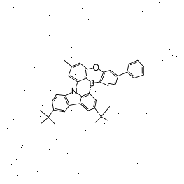 Cc1cc2c3c(c1)-n1c4ccc(C(C)(C)C)cc4c4cc(C(C)(C)C)cc(c41)B3c1ccc(-c3ccccc3)cc1O2